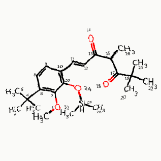 COc1c(C(C)(C)C)ccc(C=CC(=O)C(C)C(=O)C(C)(C)C)c1O[SiH](C)C